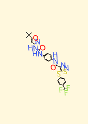 CC(C)(C)c1cc(NC(=O)Nc2ccc(NC(=O)c3nnsc3Sc3ccc(C(F)(F)F)cc3)cc2)no1